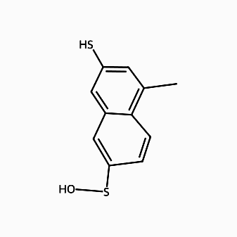 Cc1cc(S)cc2cc(SO)ccc12